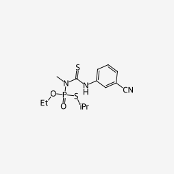 CCOP(=O)(SC(C)C)N(C)C(=S)Nc1cccc(C#N)c1